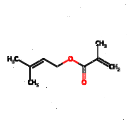 C=C(C)C(=O)OCC=C(C)C